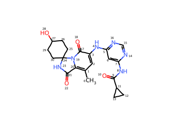 Cc1cc(Nc2cc(NC(=O)C3CC3)ncn2)c(=O)n2c1C(=O)NC21CCC(O)CC1